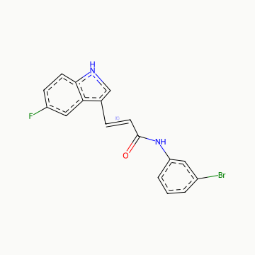 O=C(/C=C/c1c[nH]c2ccc(F)cc12)Nc1cccc(Br)c1